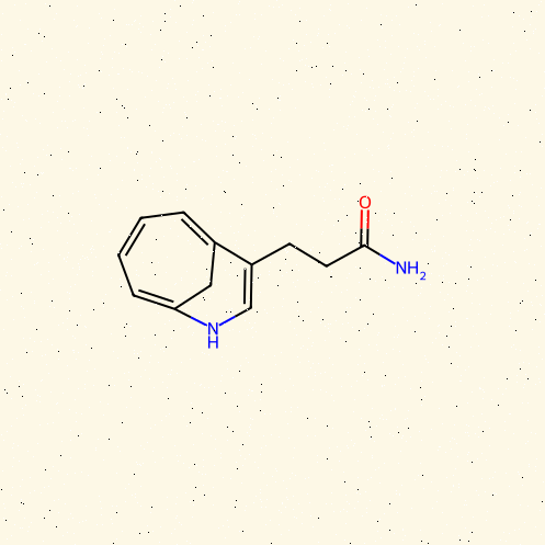 NC(=O)CCC1=CNC2=CC=CC=C1C2